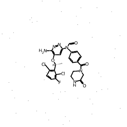 C[C@@H](Oc1cc(N(C=O)c2ccc(C(=O)N3CCNC(=O)C3)cc2)nnc1N)c1c(Cl)ccc(F)c1Cl